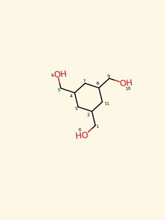 OCC1CC(CO)CC(CO)C1